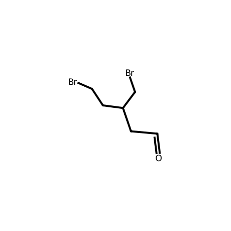 O=CCC(CBr)CCBr